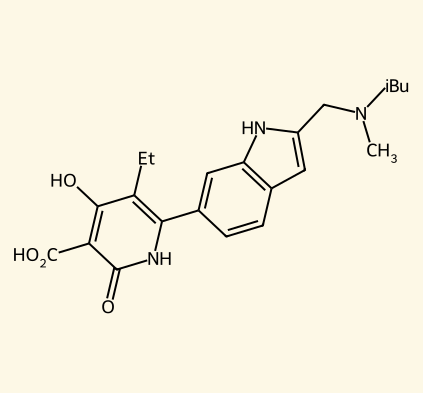 CCc1c(-c2ccc3cc(CN(C)C(C)CC)[nH]c3c2)[nH]c(=O)c(C(=O)O)c1O